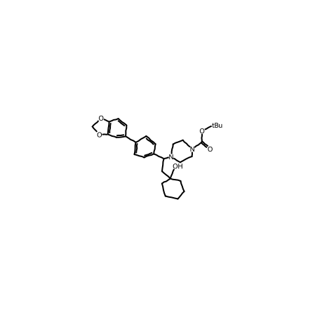 CC(C)(C)OC(=O)N1CCN(C(CC2(O)CCCCC2)c2ccc(-c3ccc4c(c3)OCO4)cc2)CC1